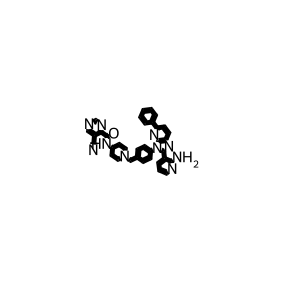 N#Cc1cncnc1C(=O)NC1CCN(Cc2ccc(-n3c(-c4cccnc4N)nc4ccc(-c5ccccc5)nc43)cc2)CC1